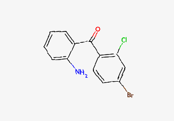 Nc1ccccc1C(=O)c1ccc(Br)cc1Cl